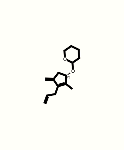 C=CCC1=C(C)[C@@H](OC2CCCCO2)CC1=C